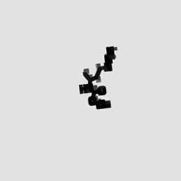 CC(CCN=[N+]=[N-])NC(=O)OC(C)(C)C